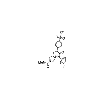 CNC(=O)N1CCC(CC(C(=O)Nc2ncc(F)s2)c2ccc(S(=O)(=O)C3CC3)cc2)C1